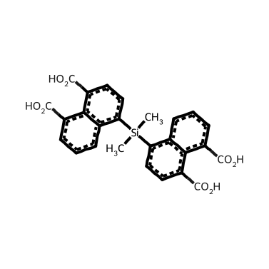 C[Si](C)(c1ccc(C(=O)O)c2c(C(=O)O)cccc12)c1ccc(C(=O)O)c2c(C(=O)O)cccc12